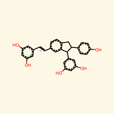 Oc1ccc(C2Cc3ccc(/C=C/c4cc(O)cc(O)c4)cc3C2c2cc(O)cc(O)c2)cc1